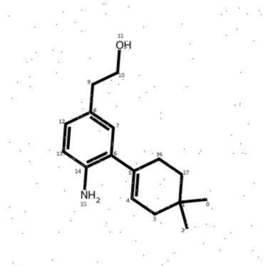 CC1(C)CC=C(c2cc(CCO)ccc2N)CC1